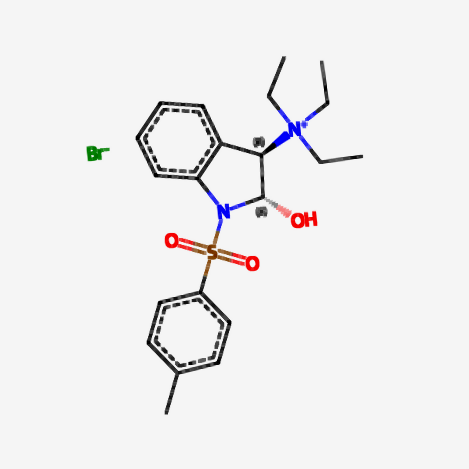 CC[N+](CC)(CC)[C@@H]1c2ccccc2N(S(=O)(=O)c2ccc(C)cc2)[C@H]1O.[Br-]